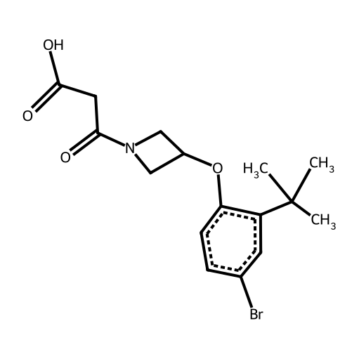 CC(C)(C)c1cc(Br)ccc1OC1CN(C(=O)CC(=O)O)C1